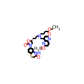 CCOC(=O)CCCN(CCC[C@@H]1CN(c2ccc3c(c2)NC(=O)CS3)C(=O)O1)Cc1ccnc2ccc(OC)nc12